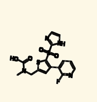 CN(Cc1cc(-c2cccnc2F)c(S(=O)(=O)c2ncc[nH]2)s1)C(=O)O